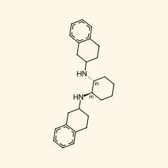 c1ccc2c(c1)CCC(N[C@@H]1CCCC[C@H]1NC1CCc3ccccc3C1)C2